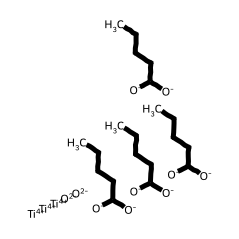 CCCCC([O-])[O-].CCCCC([O-])[O-].CCCCC([O-])[O-].CCCCC([O-])[O-].[O-2].[O-2].[Ti+4].[Ti+4].[Ti+4]